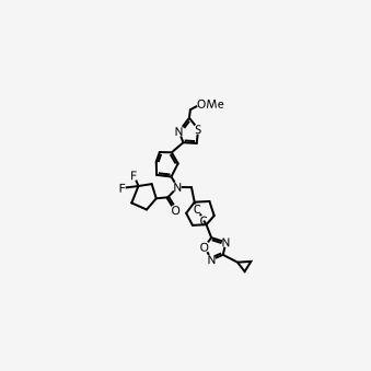 COCc1nc(-c2cccc(N(CC34CCC(c5nc(C6CC6)no5)(CC3)CC4)C(=O)C3CCC(F)(F)C3)c2)cs1